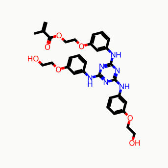 C=C(C)C(=O)OCCOc1cccc(Nc2nc(Nc3cccc(OCCO)c3)nc(Nc3cccc(OCCO)c3)n2)c1